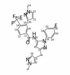 Cn1cc(Cc2cc(NC(=O)c3ccc(C(F)(F)F)c(-c4ccn(C)n4)c3)n(-c3ccc(F)cc3)n2)cn1